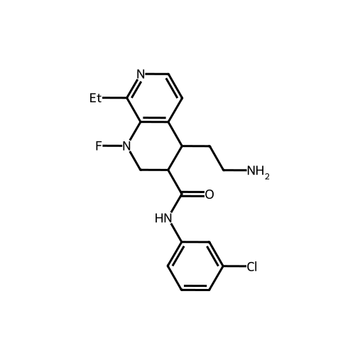 CCc1nccc2c1N(F)CC(C(=O)Nc1cccc(Cl)c1)C2CCN